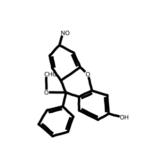 O=COC1(c2ccccc2)c2ccc(O)cc2OC2=CC(N=O)C=CC21